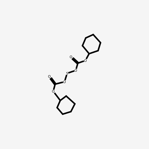 O=C(OSOC(=O)OC1CCCCC1)OC1CCCCC1